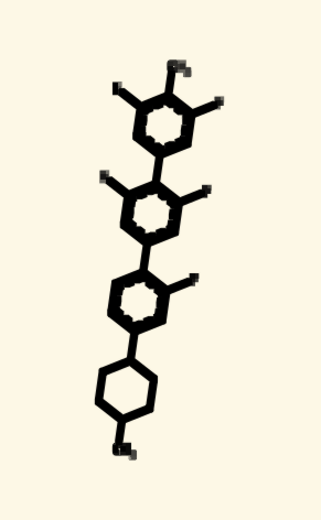 Cc1c(F)cc(-c2c(F)cc(-c3ccc(C4CCC(C)CC4)cc3F)cc2F)cc1F